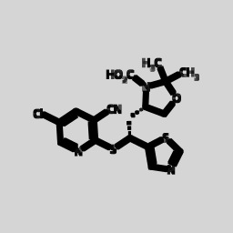 CC1(C)OC[C@H](C[C@@H](Sc2ncc(Cl)cc2C#N)c2cncs2)N1C(=O)O